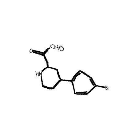 O=CC(=O)C1CC(c2ccc(Br)cc2)CCN1